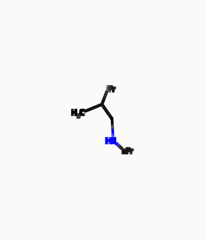 CCCNCC(C)C(C)C